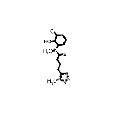 CN(C(=S)CCCc1nnnn1C)C1CCCC(Cl)C1O